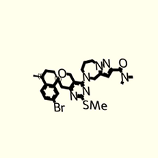 CSc1nc2c(c(N3CCCn4nc(C(=O)N(C)C)cc4C3)n1)CO[C@]1(CC[C@H](C)c3ccc(Br)cc31)C2